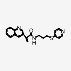 C=C(C(=O)NCCCSc1ccncc1)c1cnc2ccccc2c1